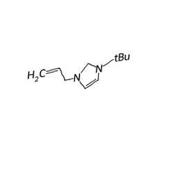 C=CCN1C=CN(C(C)(C)C)C1